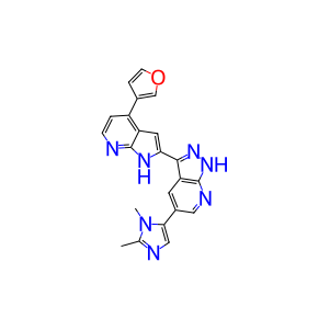 Cc1ncc(-c2cnc3[nH]nc(-c4cc5c(-c6ccoc6)ccnc5[nH]4)c3c2)n1C